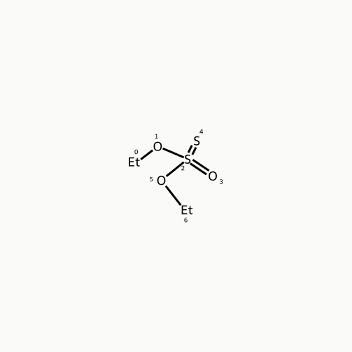 CCOS(=O)(=S)OCC